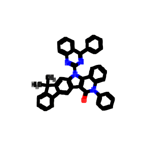 CC1(C)c2ccccc2-c2cc3c4c(=O)n(-c5ccccc5)c5ccccc5c4n(-c4nc(-c5ccccc5)c5ccccc5n4)c3cc21